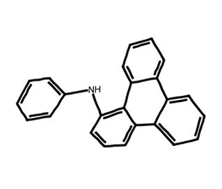 c1ccc(Nc2cccc3c4ccccc4c4ccccc4c23)cc1